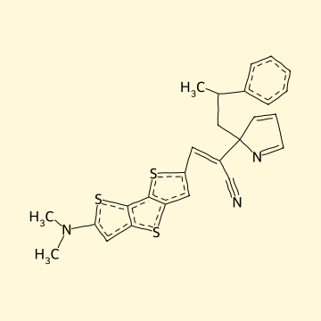 CC(CC1(C(C#N)=Cc2cc3sc4cc(N(C)C)sc4c3s2)C=CC=N1)c1ccccc1